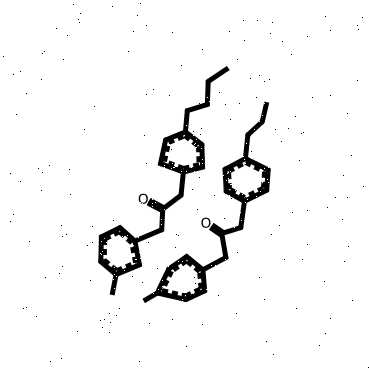 CCCCc1ccc(CC(=O)Cc2cccc(C)c2)cc1.CCCc1ccc(CC(=O)Cc2ccc(C)cc2)cc1